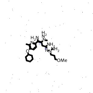 COCCCN(N)/N=C(\N)C/C(=C(/N)c1ccc(OC2CCCCC2)c(C)n1)N(C)N